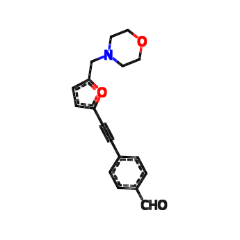 O=Cc1ccc(C#Cc2ccc(CN3CCOCC3)o2)cc1